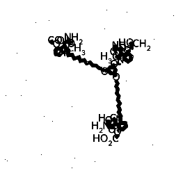 C=C(O)COc1cccc2c1c(C(=O)C(N)=O)c(C)n2COc1cc(OCCCCCCCCCCCCn2c(C)c(C(=O)C(N)=O)c3c(OCC(=O)O)cccc32)cc(OCCCCCCCCCCCCn2c(C)c(C(=O)C(N)=O)c3c(OCC(=O)O)cccc32)c1